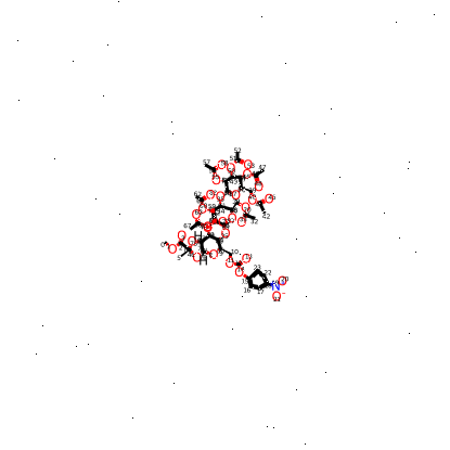 COC(=O)[C@@]1(C)O[C@H]2O[C@H](COC(=O)Oc3ccc([N+](=O)[O-])cc3)[C@@H](O[C@@H]3O[C@H](COC(C)=O)[C@H](O[C@H]4O[C@H](COC(C)=O)[C@H](OC(C)=O)[C@H](OC(C)=O)[C@H]4OC(C)=O)[C@H](OC(C)=O)[C@H]3OC(C)=O)[C@H](OC(C)=O)[C@H]2O1